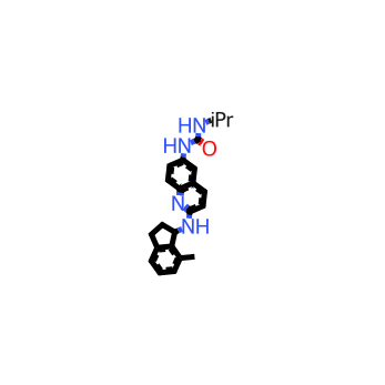 Cc1cccc2c1C(Nc1ccc3cc(NC(=O)NC(C)C)ccc3n1)CC2